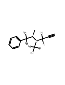 [2H]C([2H])(c1ccccc1)[C@@H](C)N(C([2H])([2H])[2H])C([2H])([2H])C#C